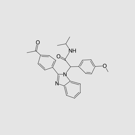 COc1ccc(C(C(=O)NC(C)C)n2c(-c3ccc(C(C)=O)cc3)nc3ccccc32)cc1